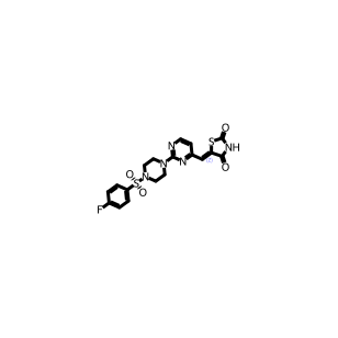 O=C1NC(=O)/C(=C/c2ccnc(N3CCN(S(=O)(=O)c4ccc(F)cc4)CC3)n2)S1